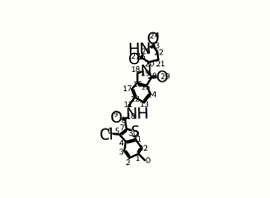 Cc1ccc2c(Cl)c(C(=O)NCc3ccc4c(c3)CN(C3CCC(=O)NC3=O)C4=O)sc2c1